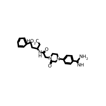 N=C(N)c1ccc(N2CCN(CC(=O)NC(CCc3ccccc3)CC(=O)O)C(=O)C2)cc1